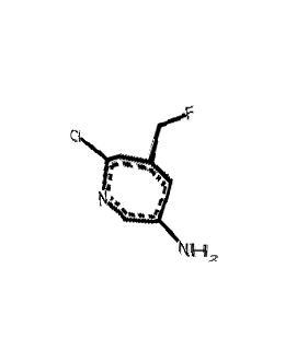 Nc1cnc(Cl)c(CF)c1